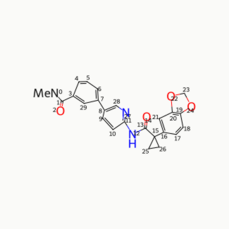 CNC(=O)c1cccc(-c2ccc(NC(=O)C3(c4ccc5c(c4)OCO5)CC3)nc2)c1